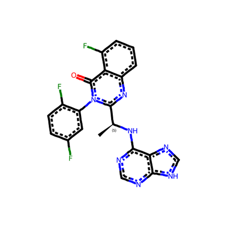 C[C@H](Nc1ncnc2[nH]cnc12)c1nc2cccc(F)c2c(=O)n1-c1cc(F)ccc1F